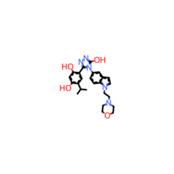 CC(C)c1cc(-c2nnc(O)n2-c2ccc3c(ccn3CCN3CCOCC3)c2)c(O)cc1O